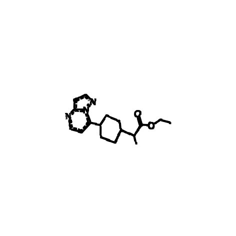 CCOC(=O)C(C)C1CCC(c2ccnc3ccnn23)CC1